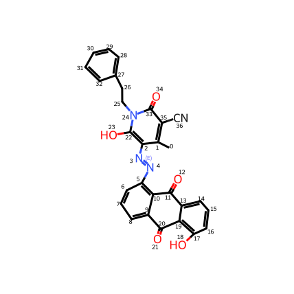 Cc1c(/N=N/c2cccc3c2C(=O)c2cccc(O)c2C3=O)c(O)n(CCc2ccccc2)c(=O)c1C#N